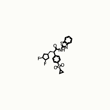 O=C(Nc1nc2ccccc2s1)[C@H](C[C@H]1C[C@@H](F)[C@@H](F)C1)c1ccc(S(=O)(=O)C2CC2)cc1